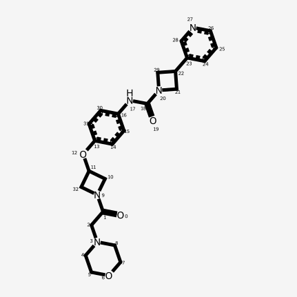 O=C(CN1CCOCC1)N1CC(Oc2ccc(NC(=O)N3CC(c4cccnc4)C3)cc2)C1